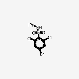 CC(C)NS(=O)(=O)c1c(Cl)cc(Br)cc1Cl